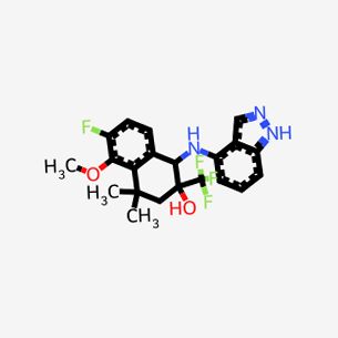 COc1c(F)ccc2c1C(C)(C)CC(O)(C(F)(F)F)C2Nc1cccc2[nH]ncc12